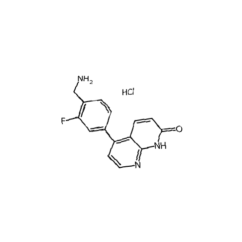 Cl.NCc1ccc(-c2ccnc3[nH]c(=O)ccc23)cc1F